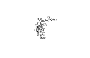 COC(=O)CCC[C@@H](C)[C@H]1CC[C@H]2[C@@H]3CC=C4C[C@@H](OC(C)=O)CC[C@]4(C)[C@H]3CC[C@]12C